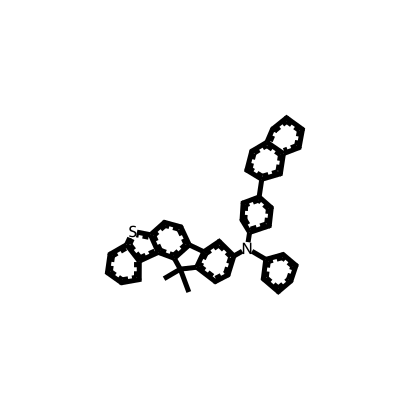 CC1(C)c2ccc(N(c3ccccc3)c3ccc(-c4ccc5ccccc5c4)cc3)cc2-c2ccc3sc4ccccc4c3c21